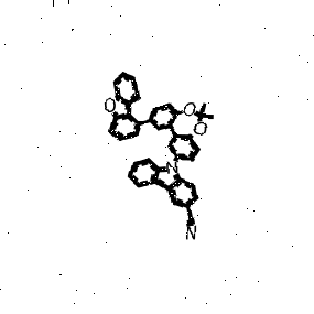 CC1(C)Oc2ccc(-c3cccc4oc5ccccc5c34)cc2-c2cc(-n3c4ccccc4c4cc(C#N)ccc43)ccc2O1